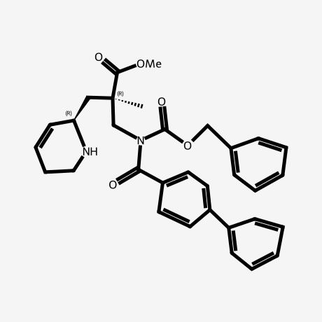 COC(=O)[C@](C)(C[C@@H]1C=CCCN1)CN(C(=O)OCc1ccccc1)C(=O)c1ccc(-c2ccccc2)cc1